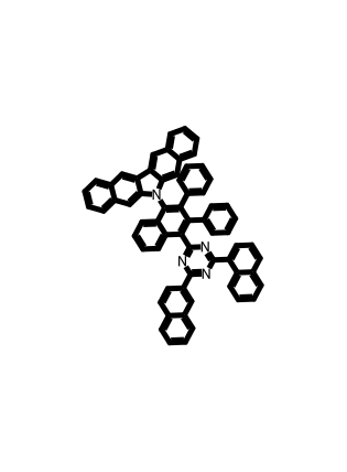 c1ccc(-c2c(-c3ccccc3)c(-n3c4cc5ccccc5cc4c4cc5ccccc5cc43)c3ccccc3c2-c2nc(-c3ccc4ccccc4c3)nc(-c3cccc4ccccc34)n2)cc1